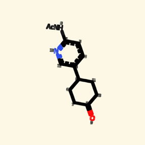 CC(=O)Nc1ccc(C2CCC(=O)CC2)cn1